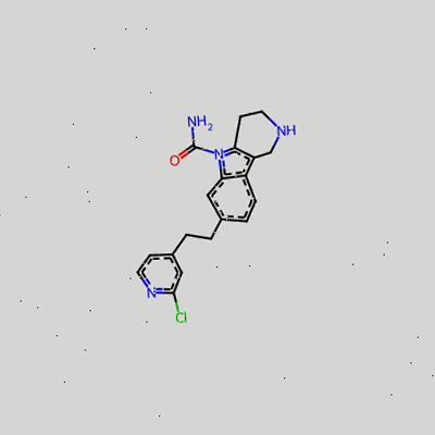 NC(=O)n1c2c(c3ccc(CCc4ccnc(Cl)c4)cc31)CNCC2